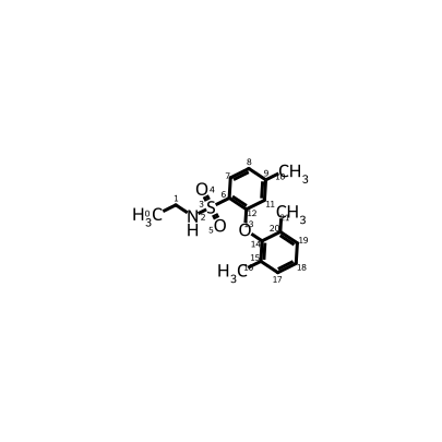 CCNS(=O)(=O)c1ccc(C)cc1Oc1c(C)cccc1C